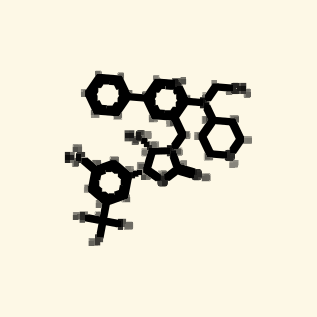 CCN(c1ncc(-c2ccccc2)cc1CN1C(=O)O[C@H](c2cc(C)cc(C(F)(F)F)c2)[C@@H]1C)C1CCOCC1